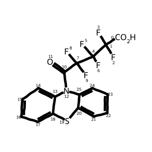 O=C(O)C(F)(F)C(F)(F)C(F)(F)C(=O)N1c2ccccc2Sc2ccccc21